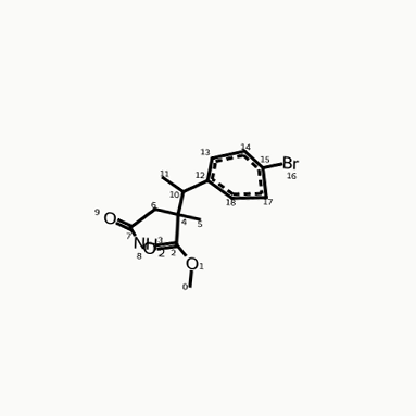 COC(=O)C(C)(CC(N)=O)C(C)c1ccc(Br)cc1